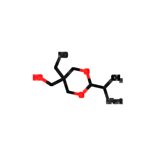 CCCCCC(C)C1OCC(CO)(CN=O)CO1